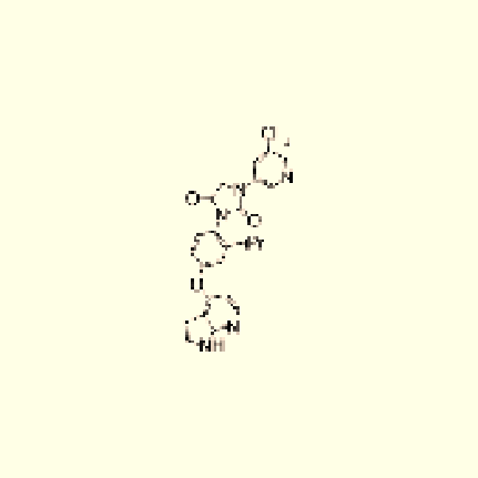 CC(C)c1cc(Oc2ccnc3[nH]ccc23)ccc1N1C(=O)CN(c2cncc(C(F)(F)F)c2)C1=O